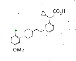 COc1ccc(F)c([C@H]2CC[C@H](CCc3cccc(C(CC(=O)O)C4CC4)c3)CC2)c1